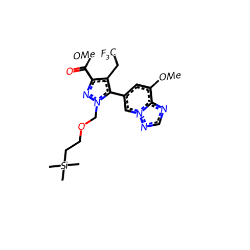 COC(=O)c1nn(COCC[Si](C)(C)C)c(-c2cc(OC)c3ncnn3c2)c1CC(F)(F)F